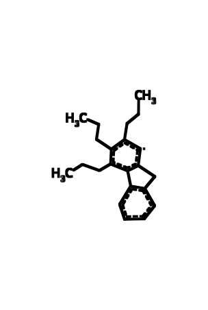 CCCc1[c]c2c(c(CCC)c1CCC)-c1ccccc1C2